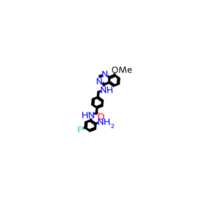 COc1cccc2c(NCc3ccc(C(=O)Nc4cc(F)ccc4N)cc3)ncnc12